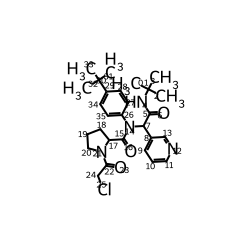 CC(C)(C)NC(=O)C(c1cccnc1)N(C(=O)C1CCCN1C(=O)CCl)c1ccc(C(C)(C)C)cc1